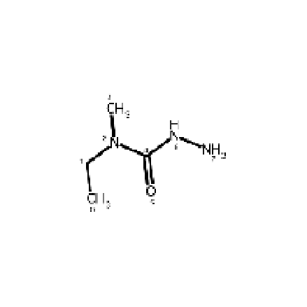 CCN(C)C(=O)NN